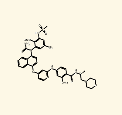 COc1cc(Nc2cc(Oc3ccc(N(C(N)=O)c4cc(C(C)(C)C)cc(NS(C)(=O)=O)c4OC)c4ccccc34)ccn2)ccc1C(=O)N[C@@H](C)CN1CCOCC1